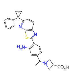 CC(c1ccc(-c2nc3ccc(C4(c5ccccc5)C=C4)nc3s2)c(N)c1)N1CC(C(=O)O)C1